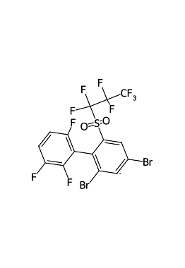 O=S(=O)(c1cc(Br)[c]c(Br)c1-c1c(F)ccc(F)c1F)C(F)(F)C(F)(F)C(F)(F)F